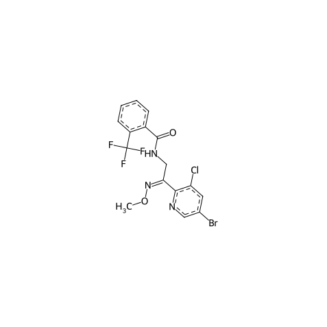 CON=C(CNC(=O)c1ccccc1C(F)(F)F)c1ncc(Br)cc1Cl